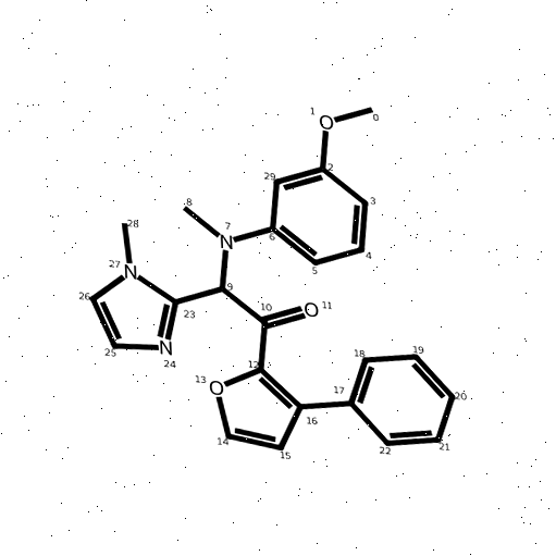 COc1cccc(N(C)C(C(=O)c2occc2-c2ccccc2)c2nccn2C)c1